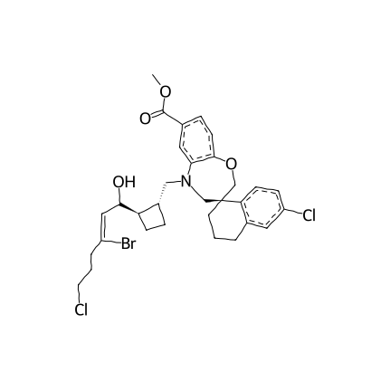 COC(=O)c1ccc2c(c1)N(C[C@@H]1CC[C@H]1C(O)/C=C(\Br)CCCCl)C[C@@]1(CCCc3cc(Cl)ccc31)CO2